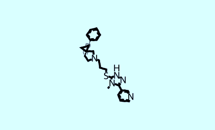 CN1C(c2cccnc2)=NNC1SCCCN1CC[C@]2(C[C@@H]2c2ccccc2)C1